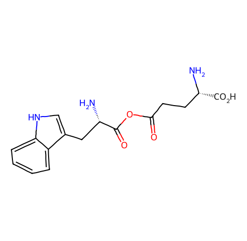 N[C@@H](CCC(=O)OC(=O)[C@@H](N)Cc1c[nH]c2ccccc12)C(=O)O